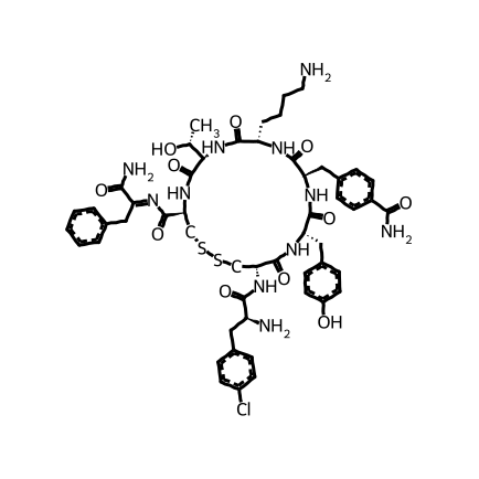 C[C@@H](O)[C@@H]1NC(=O)[C@H](CCCCN)NC(=O)[C@@H](Cc2ccc(C(N)=O)cc2)NC(=O)[C@H](Cc2ccc(O)cc2)NC(=O)[C@H](NC(=O)[C@@H](N)Cc2ccc(Cl)cc2)CSSC[C@@H](C(=O)/N=C(\Cc2ccccc2)C(N)=O)NC1=O